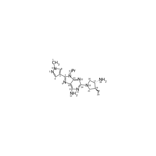 CC(C)n1c(-c2cnn(C)c2)nc2c(N)nc(N3C[C@H](N)[C@@H](F)C3)nc21